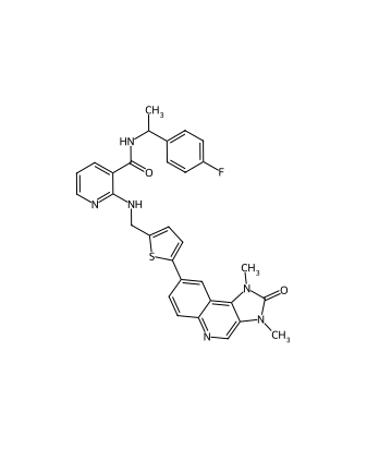 CC(NC(=O)c1cccnc1NCc1ccc(-c2ccc3ncc4c(c3c2)n(C)c(=O)n4C)s1)c1ccc(F)cc1